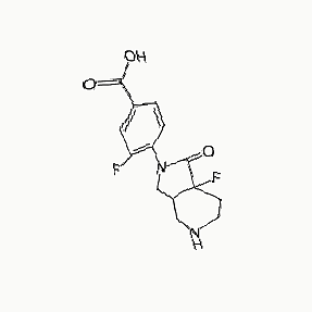 O=C(O)c1ccc(N2CC3CNCCC3(F)C2=O)c(F)c1